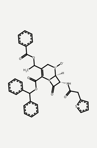 CC(OC(=O)c1ccccc1)C1=C(C(=O)OC(c2ccccc2)c2ccccc2)N2C(=O)[C@@H](NC(=O)Cc3cccs3)[C@@H]2[S+]([O-])C1